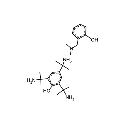 CC(C)(N)c1cc(C(C)(C)N)c(O)c(C(C)(C)N)c1.CN(C)Cc1ccccc1O